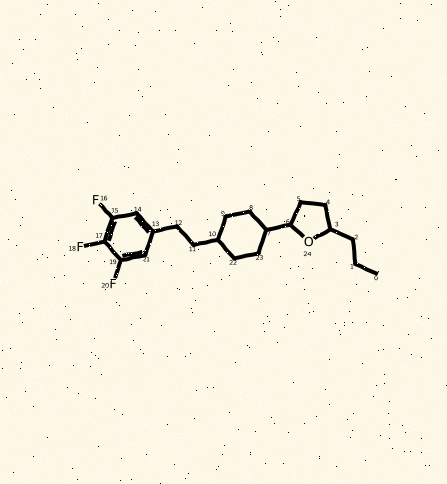 CCCC1CCC(C2CCC(CCc3cc(F)c(F)c(F)c3)CC2)O1